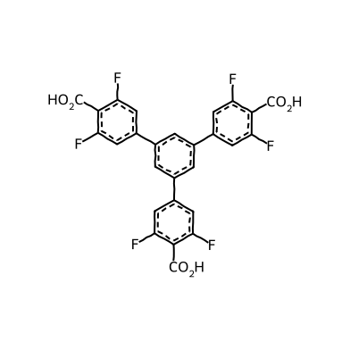 O=C(O)c1c(F)cc(-c2cc(-c3cc(F)c(C(=O)O)c(F)c3)cc(-c3cc(F)c(C(=O)O)c(F)c3)c2)cc1F